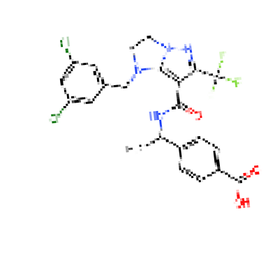 CC(NC(=O)c1c(C(F)(F)F)nn2c1N(Cc1cc(Cl)cc(Cl)c1)CC2)c1ccc(C(=O)O)cc1